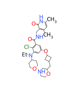 CCN(c1cc(OC2CC(CC3CNCCO3)C2)cc(C(=O)NCc2c(C)cc(C)[nH]c2=O)c1Cl)C1CCOCC1